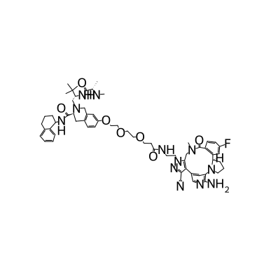 CN[C@@H](C)C(=O)N[C@H](CN1Cc2cc(OCCOCCOCCC(=O)NCCn3nc(C#N)c4c3CN(C)C(=O)c3ccc(F)cc3[C@H]3CCCN3c3cc-4cnc3N)ccc2C[C@H]1C(=O)N[C@@H]1CCCc2ccccc21)C(C)(C)C